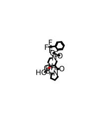 O=C(C1CN(S(=O)(=O)c2ccccc2C(F)(F)F)CCN1Cl)N1CCC[C@H]1B(O)O